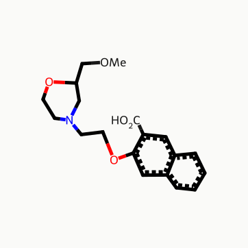 COCC1CN(CCOc2cc3ccccc3cc2C(=O)O)CCO1